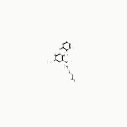 CC(O)CCONC(=O)c1cc(Br)c(F)cc1Nc1ccc(I)cc1Cl